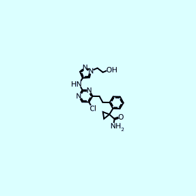 NC(=O)C1(c2ccccc2CCc2nc(Nc3cnn(CCO)c3)ncc2Cl)CC1